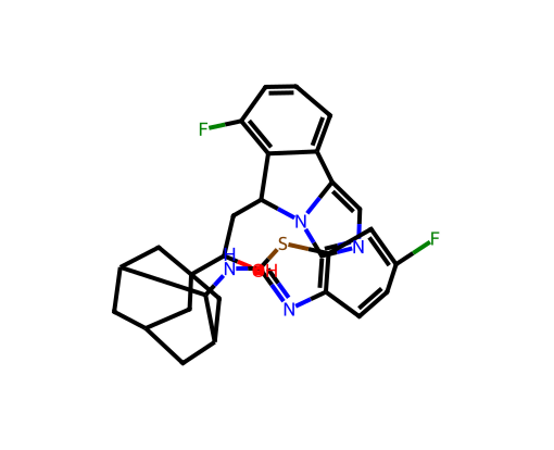 OC(CC1c2c(F)cccc2-c2cncn21)C12CC3CC(C1)C(Nc1nc4ccc(F)cc4s1)C(C3)C2